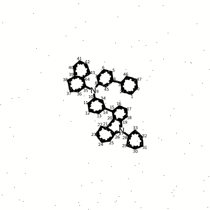 c1ccc(-c2cccc(N(c3cccc(-c4cccc5c4c4ccccc4n5-c4ccccc4)c3)c3cccc4ccccc34)c2)cc1